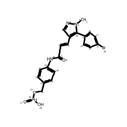 Cn1ncc(/C=C/C(=O)Nc2ccc(CO[PH](=O)O)cc2)c1-c1ccc(Br)cc1